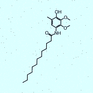 CCCCCCCCCCCCC(=O)Nc1cc(C)c(O)c(OC)c1OC